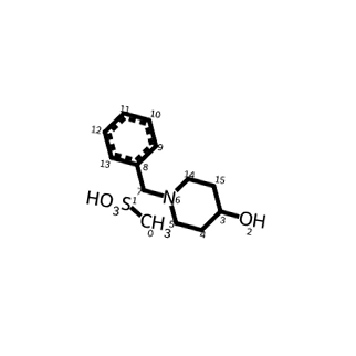 CS(=O)(=O)O.OC1CCN(Cc2ccccc2)CC1